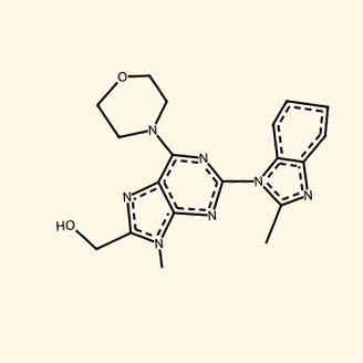 Cc1nc2ccccc2n1-c1nc(N2CCOCC2)c2nc(CO)n(C)c2n1